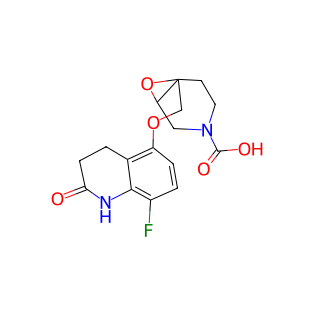 O=C1CCc2c(OCC34CCN(C(=O)O)CC3O4)ccc(F)c2N1